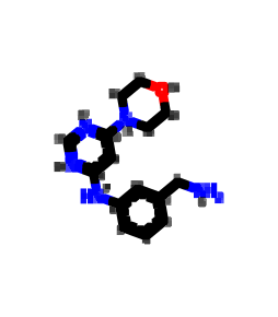 NCc1cccc(Nc2cc(N3CCOCC3)ncn2)c1